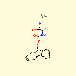 CC(=O)OCN(C)C(=O)[C@H](C)NC(=O)OCC1c2ccccc2-c2ccccc21